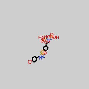 COC1CCC(/C=N/N(C)[PH](=S)Oc2ccc(CCN(CP(=O)(O)O)CP(=O)(O)O)cc2)CC1